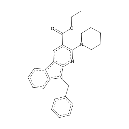 CCOC(=O)c1cc2c3ccccc3n(Cc3ccccc3)c2nc1N1CCCCC1